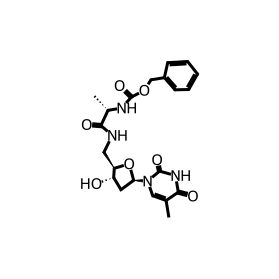 Cc1cn([C@H]2C[C@H](O)[C@@H](CNC(=O)[C@H](C)NC(=O)OCc3ccccc3)O2)c(=O)[nH]c1=O